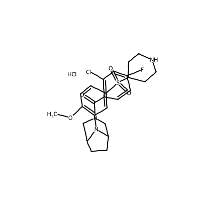 COc1ccc(S(=O)(=O)C2CCNCC2)cc1N1C2CCC1CN(C(=O)c1ccc(F)cc1Cl)C2.Cl